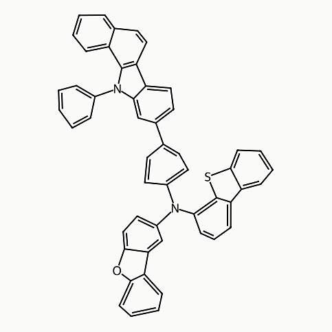 c1ccc(-n2c3cc(-c4ccc(N(c5ccc6oc7ccccc7c6c5)c5cccc6c5sc5ccccc56)cc4)ccc3c3ccc4ccccc4c32)cc1